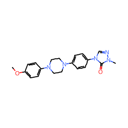 COc1ccc(N2CCN(c3ccc(-n4cnn(C)c4=O)cc3)CC2)cc1